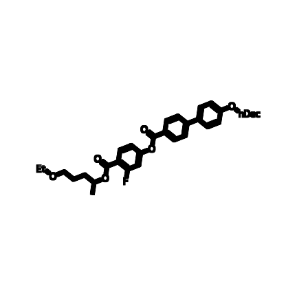 CCCCCCCCCCOc1ccc(-c2ccc(C(=O)Oc3ccc(C(=O)OC(C)CCCOCC)c(F)c3)cc2)cc1